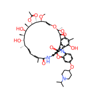 CO[C@H]1/C=C/O[C@@]2(C)Oc3c(C)c(O)c4c(=O)c(c5oc6cc(OC7CCN(C(C)C)CC7)ccc6nc-5c4c3C2=O)NC(=O)/C(C)=C\C=C\[C@H](C)[C@H](O)[C@@H](C)[C@@H](O)[C@@H](C)[C@H](OC(C)=O)[C@@H]1C